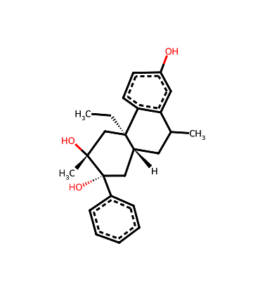 CC[C@@]12C[C@@](C)(O)[C@](O)(c3ccccc3)C[C@H]1CC(C)c1cc(O)ccc12